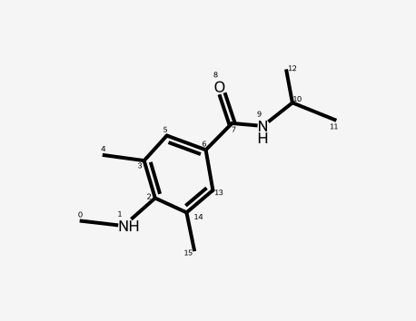 CNc1c(C)cc(C(=O)NC(C)C)cc1C